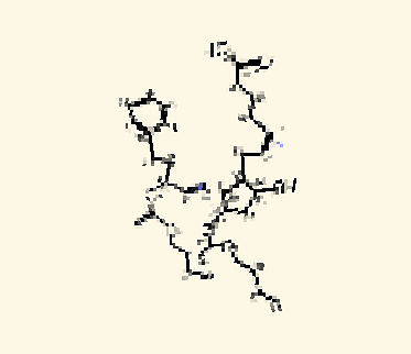 CCCCOC(C)O[C@H](/C=C/[C@@H]1[C@@H](C/C=C\CCCC(=O)O)[C@@H](O)C[C@H]1OC(C)OCCCC)CCc1ccccc1